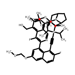 COCOc1cc(-c2ncc3c(N4CC5CCC(C4)N5C(=O)OC(C)(C)C)nc(C)c(CO)c3c2F)c2c(C#C[Si](C(C)C)(C(C)C)C(C)C)c(F)ccc2c1